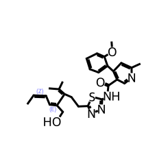 C/C=C\C=C(\CO)C(CCc1nnc(NC(=O)c2cnc(C)cc2-c2ccccc2OC)s1)=C(C)C